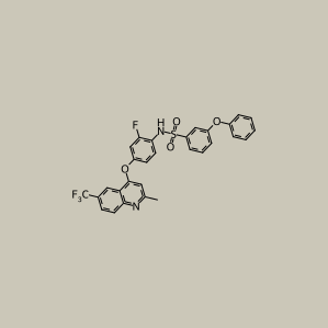 Cc1cc(Oc2ccc(NS(=O)(=O)c3cccc(Oc4ccccc4)c3)c(F)c2)c2cc(C(F)(F)F)ccc2n1